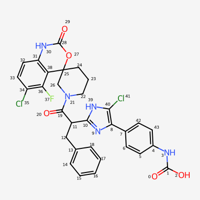 O=C(O)Nc1ccc(-c2nc(C(Cc3ccccc3)C(=O)N3CCCC4(C3)OC(=O)Nc3ccc(Cl)c(F)c34)[nH]c2Cl)cc1